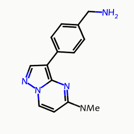 CNc1ccn2ncc(-c3ccc(CN)cc3)c2n1